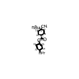 CCCC[C@]1(C#N)CC[C@@H](C(=O)Oc2ccc(CCC)cc2)CC1